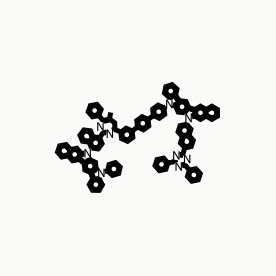 CC1=C(c2ccccc2)N=C(c2ccc(-n3c4cc5ccccc5cc4c4cc5c6ccccc6n(-c6ccccc6)c5cc43)c3ccccc23)N=C(c2cccc(-c3ccc(-c4ccc(-n5c6ccccc6c6cc7c8cc9ccccc9cc8n(-c8ccc9cc(-c%10nc(-c%11ccccc%11)nc(-c%11ccccc%11)n%10)ccc9c8)c7cc65)cc4)cc3)c2)C1